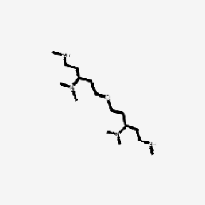 CNCCC(CCOCCC(CCNC)N(C)C)N(C)C